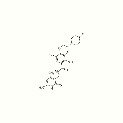 Cc1cc(C)c(CNC(=O)c2cc(Cl)c3c(c2C)O[C@@H](C2CCC(=O)CC2)CO3)c(=O)[nH]1